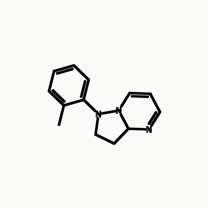 Cc1ccccc1N1CCC2N=CC=CN21